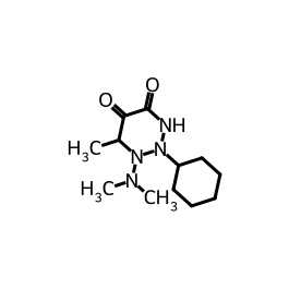 CC1C(=O)C(=O)NN(C2CCCCC2)N1N(C)C